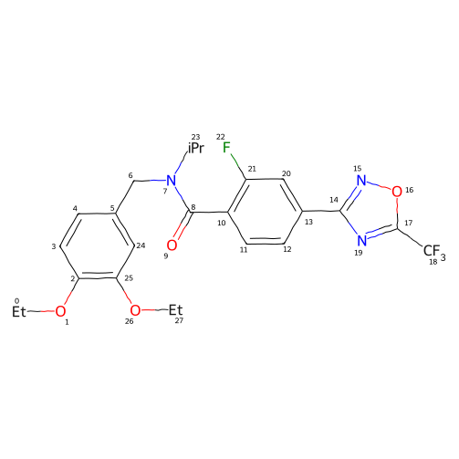 CCOc1ccc(CN(C(=O)c2ccc(-c3noc(C(F)(F)F)n3)cc2F)C(C)C)cc1OCC